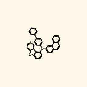 c1ccc(-c2ccc(N(c3ccc4ccc5ccccc5c4c3)c3cccc4oc5ccncc5c34)cc2)cc1